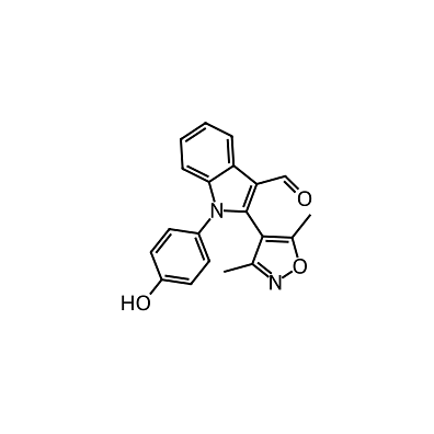 Cc1noc(C)c1-c1c(C=O)c2ccccc2n1-c1ccc(O)cc1